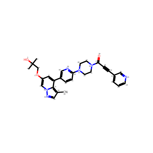 CC(C)(O)COc1cc(-c2ccc(N3CCN(C(=O)C#Cc4cccnc4)CC3)nc2)c2c(C#N)cnn2c1